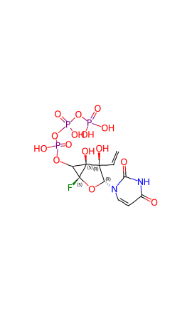 C=C[C@]1(O)[C@H](n2ccc(=O)[nH]c2=O)O[C@]2(F)C(OP(=O)(O)OP(=O)(O)OP(=O)(O)O)[C@@]21O